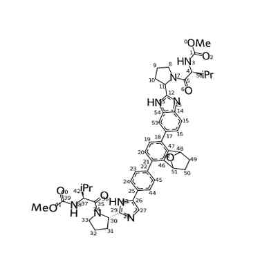 COC(=O)N[C@H](C(=O)N1CCCC1c1nc2ccc(-c3ccc(-c4ccc(-c5cnc([C@@H]6CCCN6C(=O)[C@@H](NC(=O)OC)C(C)C)[nH]5)cc4)c4c3C3CCC4O3)cc2[nH]1)C(C)C